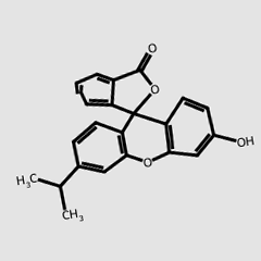 CC(C)c1ccc2c(c1)Oc1cc(O)ccc1C21OC(=O)c2ccccc21